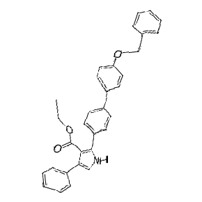 CCOC(=O)c1c(-c2ccccc2)c[nH]c1-c1ccc(-c2ccc(OCc3ccccc3)cc2)cc1